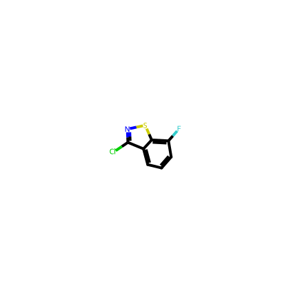 Fc1cccc2c(Cl)nsc12